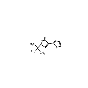 CC(C)(C)c1cc(-c2cccs2)[nH]n1